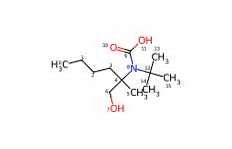 CCCCC(C)(CO)N(C(=O)O)C(C)(C)C